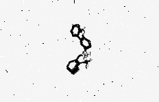 FC(F)(F)c1ccccc1CNc1ccc2sc3ccccc3c2c1